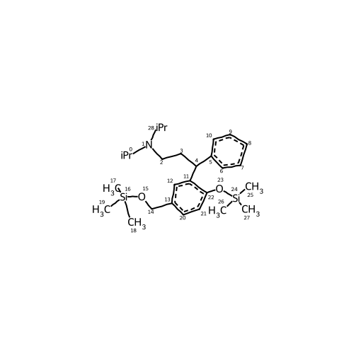 CC(C)N(CCC(c1ccccc1)c1cc(CO[Si](C)(C)C)ccc1O[Si](C)(C)C)C(C)C